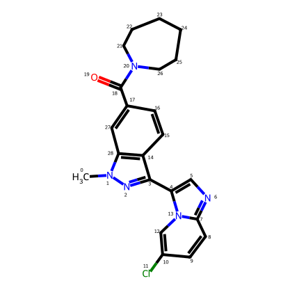 Cn1nc(-c2cnc3ccc(Cl)cn23)c2ccc(C(=O)N3CCCCCC3)cc21